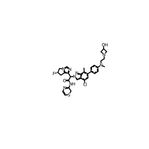 Cc1c(-c2ccc(N(C)CCN3CC(O)C3)cc2)cc(Cl)c2cn(C(C(=O)NC3=NC=CSC3)c3ncn4c3C[C@@H](F)C4)nc12